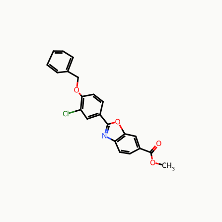 COC(=O)c1ccc2nc(-c3ccc(OCc4ccccc4)c(Cl)c3)oc2c1